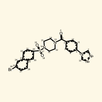 O=C(c1ccc(-n2cnnc2)cc1)N1CCN(S(=O)(=O)c2ccc3cc(Br)ccc3c2)CC1